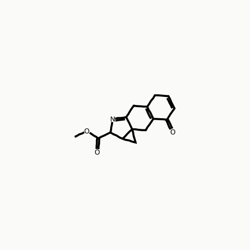 COC(=O)C1N=C2CC3=C(CC24CC14)C(=O)C=CC3